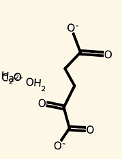 O.O.O=C([O-])CCC(=O)C(=O)[O-].[Ca+2]